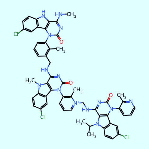 CNc1nc(=O)n(-c2cccc(CNc3nc(=O)n(-c4ccc[n+](CNc5nc(=O)n(-c6cccnc6C)c6c7cc(Cl)ccc7n(C(C)C)c56)c4C)c4c5cc(Cl)ccc5n(C)c34)c2C)c2c1[nH]c1ccc(Cl)cc12